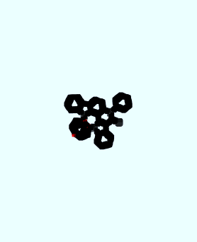 O=c1c2c3ccccc3n(-c3ccccc3)c2c2c(ccc3c4ccccc4n(-c4ccccc4)c32)n1-c1ccccc1